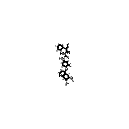 CCC(C(=O)NC(=S)Nc1ccc(Oc2ccnc3cc(OC)c(OC)cc23)c(Cl)c1)c1ccccc1